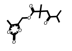 Cc1oc(=O)oc1COC(=O)C(C)(C)CC(=O)C(C)C